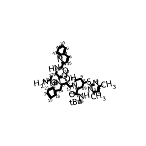 Cc1cc(C)nc(SC2CCN(CC(O)C(Cc3ccccc3)NC(=O)[C@H](CC(N)=O)NC(=O)c3ccc4ccccc4n3)C(C(=O)NC(C)(C)C)C2)n1